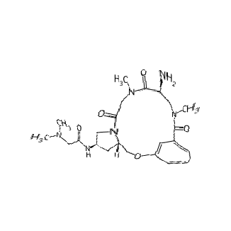 CN(C)CC(=O)N[C@@H]1C[C@H]2COc3cccc(c3)C(=O)N(C)C[C@H](N)C(=O)N(C)CC(=O)N2C1